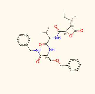 CC[C@H](C)[C@@H]1C(=O)O[C@H]1C(=O)NC(C(=O)N[C@@H](COCc1ccccc1)C(=O)NCc1ccccc1)C(C)C